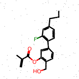 C=C(C)C(=O)Oc1cc(-c2ccc(CCC)cc2F)ccc1CO